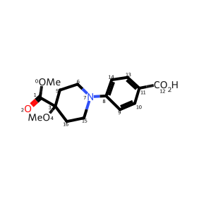 COC(=O)C1(OC)CCN(c2ccc(C(=O)O)cc2)CC1